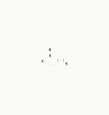 I.I.I.N=CN